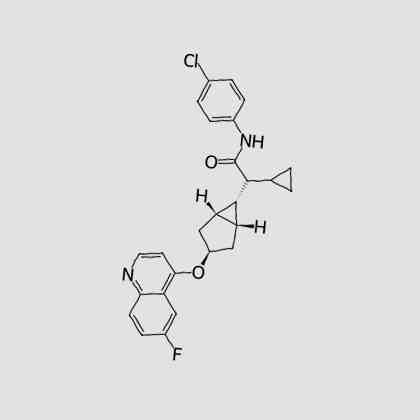 O=C(Nc1ccc(Cl)cc1)C(C1CC1)[C@@H]1[C@@H]2C[C@@H](Oc3ccnc4ccc(F)cc34)C[C@@H]21